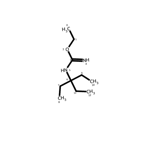 CCOC(=N)NC(CC)(CC)CC